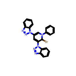 BrC1C(n2nnc3ccccc32)=CC(n2nnc3ccccc32)=CN1c1ccccc1